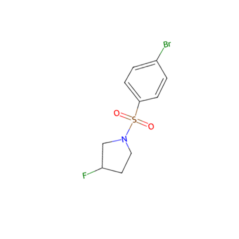 O=S(=O)(c1ccc(Br)cc1)N1CCC(F)C1